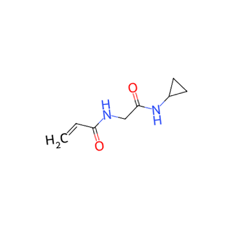 C=CC(=O)NCC(=O)NC1CC1